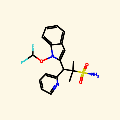 CC(C)(C(c1ccccn1)c1cc2ccccc2n1OC(F)F)S(N)(=O)=O